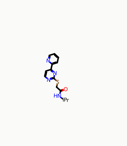 CC(C)NC(=O)CSc1nccc(-c2ccccn2)n1